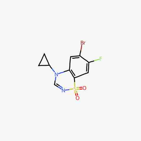 O=S1(=O)N=CN(C2CC2)c2cc(Br)c(F)cc21